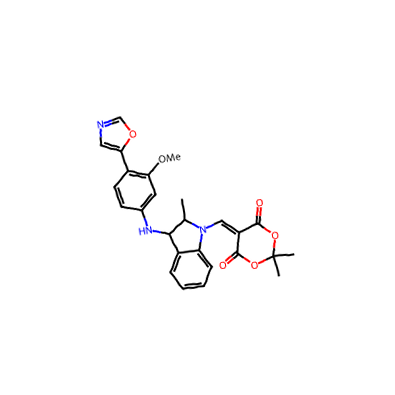 COc1cc(NC2c3ccccc3N(C=C3C(=O)OC(C)(C)OC3=O)C2C)ccc1-c1cnco1